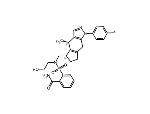 C[C@@H]1C2=C(CC[C@@H]2CN(CCO)S(=O)(=O)c2ccccc2C(N)=O)Cc2c1cnn2-c1ccc(F)cc1